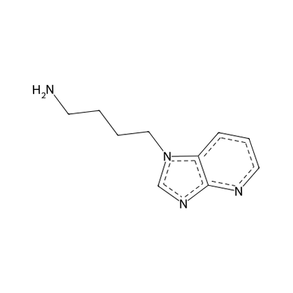 NCCCCn1cnc2ncccc21